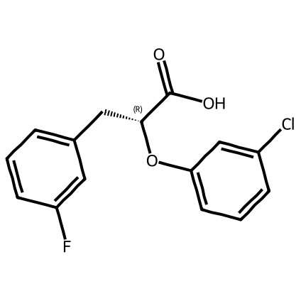 O=C(O)[C@@H](Cc1cccc(F)c1)Oc1cccc(Cl)c1